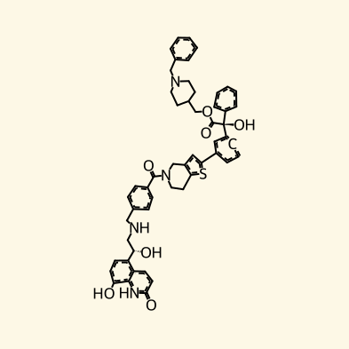 O=C(c1ccc(CNC[C@H](O)c2ccc(O)c3[nH]c(=O)ccc23)cc1)N1CCc2sc(-c3cccc([C@](O)(C(=O)OCC4CCN(Cc5ccccc5)CC4)c4ccccc4)c3)cc2C1